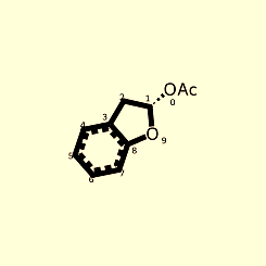 CC(=O)O[C@H]1Cc2ccccc2O1